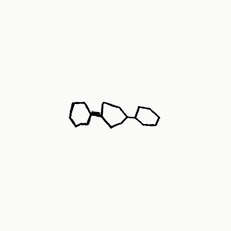 C1CCC(=C2CCC(C3CCCCC3)CC2)CC1